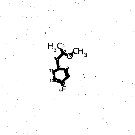 COC(C)CC1C=CC(F)=CC1